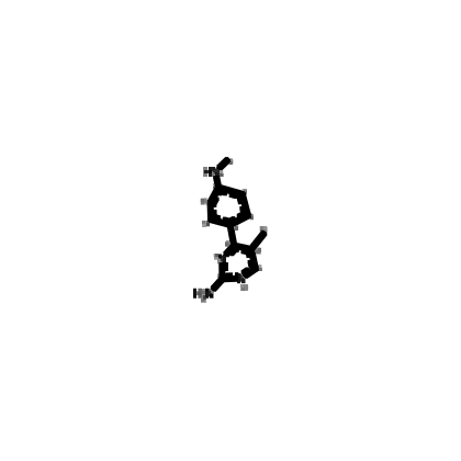 CNc1ccc(-c2nc(N)ncc2C)cc1